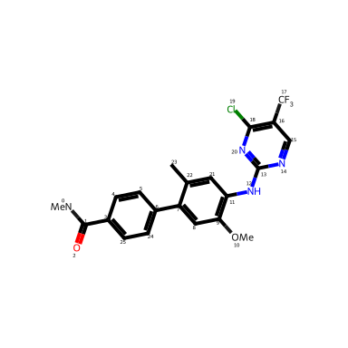 CNC(=O)c1ccc(-c2cc(OC)c(Nc3ncc(C(F)(F)F)c(Cl)n3)cc2C)cc1